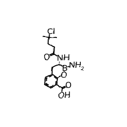 CC(C)(Cl)CCC(=O)N[C@H]1Cc2cccc(C(=O)O)c2OB1N